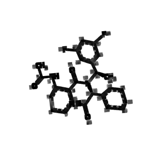 CC(=O)Nc1ccccc1C(=O)N([C@H](C)c1cc(F)cc(F)c1)[C@H](C(N)=O)c1ccccc1